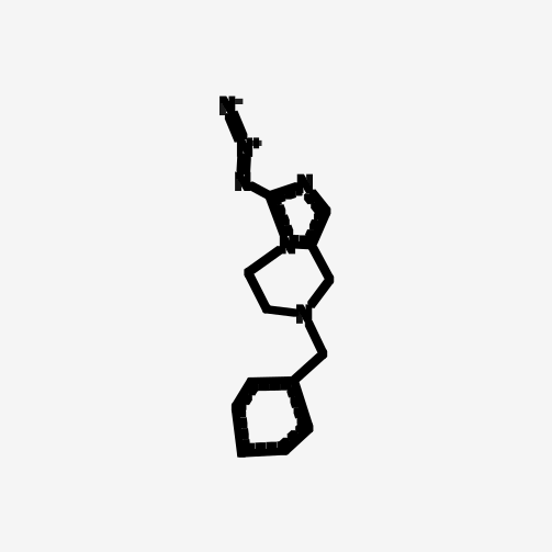 [N-]=[N+]=Nc1ncc2n1CCN(Cc1ccccc1)C2